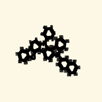 c1ccc(-n2c3ccc4c5ccccc5oc4c3c3ccc4c(c5ccccc5n4-c4ccc5ccccc5c4)c32)cc1